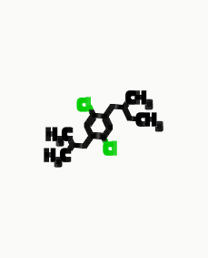 CCC(C)Cc1cc(Cl)c(CC(C)C)cc1Cl